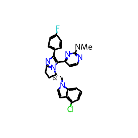 CNc1nccc(-c2c(-c3ccc(F)cc3)nc3n2[C@H](Cn2ccc4c(Cl)cccc42)CC3)n1